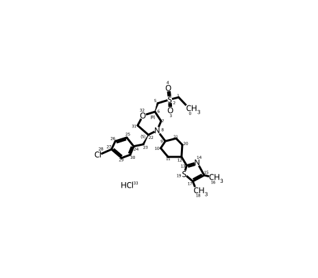 CCS(=O)(=O)C[C@H]1CN(C2CCC(c3nc(C)c(C)s3)CC2)[C@@H](Cc2ccc(Cl)cc2)CO1.Cl